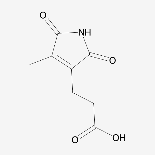 CC1=C(CCC(=O)O)C(=O)NC1=O